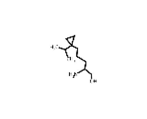 CC(C)C1(CCCC(N)CO)CC1